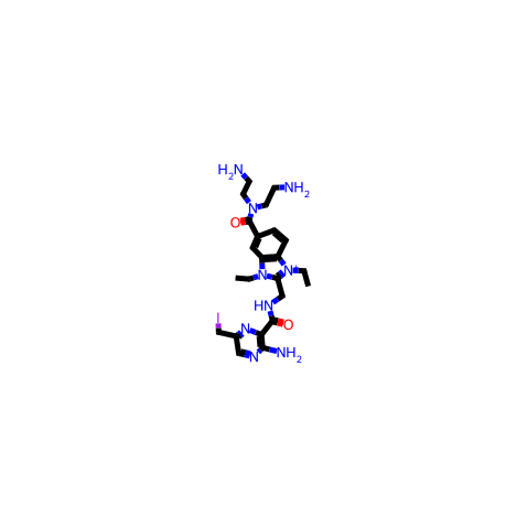 CCn1c(CNC(=O)c2nc(CI)cnc2N)[n+](CC)c2ccc(C(=O)N(CCN)CCN)cc21